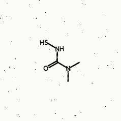 CN(C)C(=O)NS